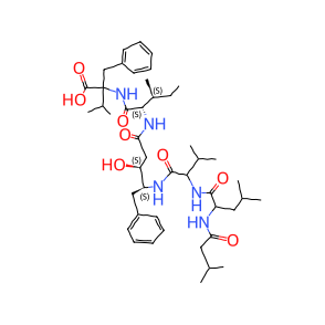 CC[C@H](C)[C@H](NC(=O)C[C@H](O)[C@H](Cc1ccccc1)NC(=O)C(NC(=O)C(CC(C)C)NC(=O)CC(C)C)C(C)C)C(=O)NC(Cc1ccccc1)(C(=O)O)C(C)C